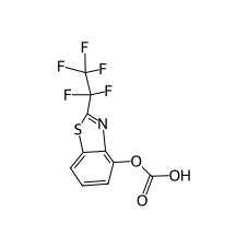 O=C(O)Oc1cccc2sc(C(F)(F)C(F)(F)F)nc12